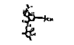 Cc1cc(C)c(CNC(=O)c2cc(C#CC(C)(C)O)nc3c2cnn3C(C)C)c(=O)[nH]1